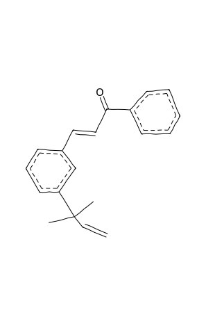 C=CC(C)(C)c1cccc(C=CC(=O)c2ccccc2)c1